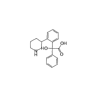 O=C(O)C(O)(c1ccccc1)c1ccccc1C1CCCNC1